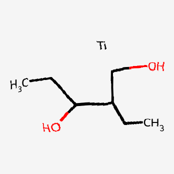 CCC(O)C(CC)CO.[Ti]